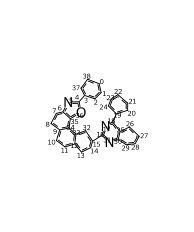 c1ccc(-c2nc3ccc4ccc5ccc(-c6nc(-c7ccccc7)c7ccccc7n6)cc5c4c3o2)cc1